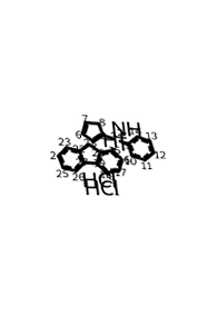 Cl.Cl.[NH]=[Hf]([C]1=CC=CC1)([c]1ccccc1)[c]1cccc2c1Cc1ccccc1-2